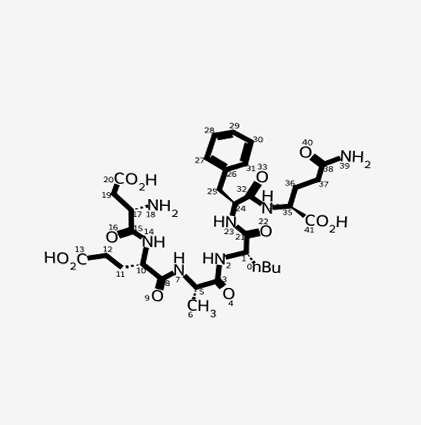 CCCC[C@H](NC(=O)[C@H](C)NC(=O)[C@H](CCC(=O)O)NC(=O)[C@@H](N)CC(=O)O)C(=O)N[C@@H](Cc1ccccc1)C(=O)N[C@@H](CCC(N)=O)C(=O)O